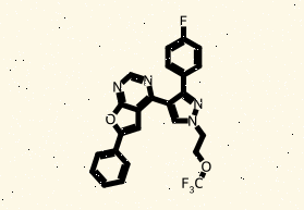 Fc1ccc(-c2nn(CCOC(F)(F)F)cc2-c2ncnc3oc(-c4ccccc4)cc23)cc1